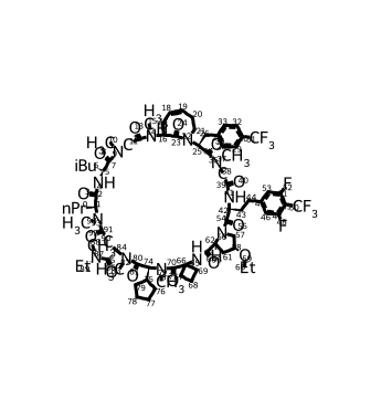 CCC[C@H]1C(=O)N[C@@H]([C@@H](C)CC)C(=O)N(C)CC(=O)N(C)[C@H]2C/C=C\CCN(C2=O)[C@@H](Cc2ccc(C(F)(F)F)cc2)C(=O)N(C)CC(=O)N[C@@H](CCc2cc(F)c(C(F)(F)F)c(F)c2)C(=O)N2C[C@H](OCC)C[C@H]2C(=O)NC2(CCC2)C(=O)N(C)[C@@H](C2CCCC2)C(=O)N(C)[C@H](C(=O)N(C)CC)CC(=O)N1C